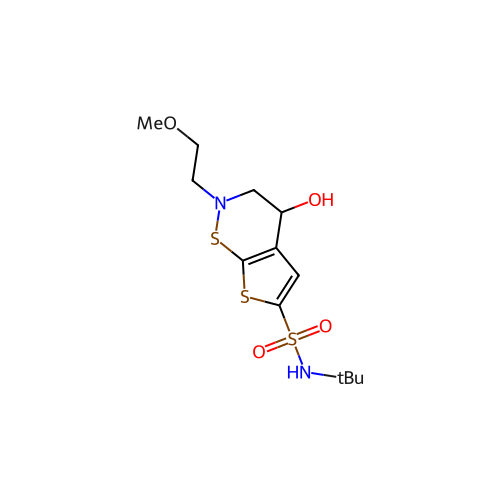 COCCN1CC(O)c2cc(S(=O)(=O)NC(C)(C)C)sc2S1